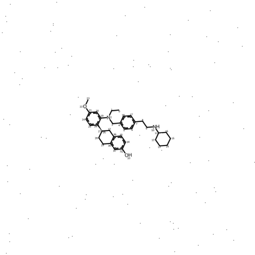 CCN(Cc1ccc(CCNC2CCCCC2)cc1)c1cc(OC)ccc1[C@@H]1CCc2cc(O)ccc2C1